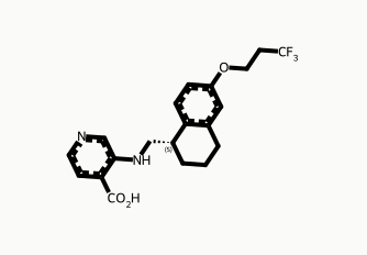 O=C(O)c1ccncc1NC[C@H]1CCCc2cc(OCCC(F)(F)F)ccc21